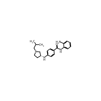 CC(C)CN1CC[C@@H](Nc2ccc(C(=O)Nc3ccccc3N)cc2)C1